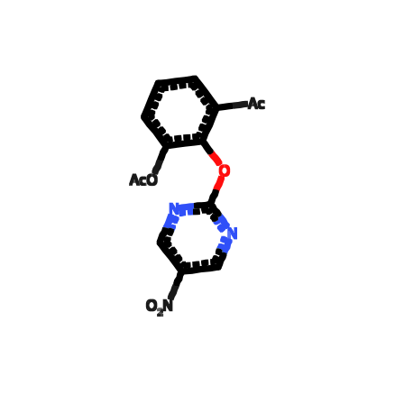 CC(=O)Oc1cccc(C(C)=O)c1Oc1ncc([N+](=O)[O-])cn1